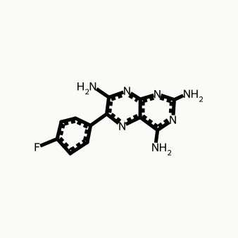 Nc1nc(N)c2nc(-c3ccc(F)cc3)c(N)nc2n1